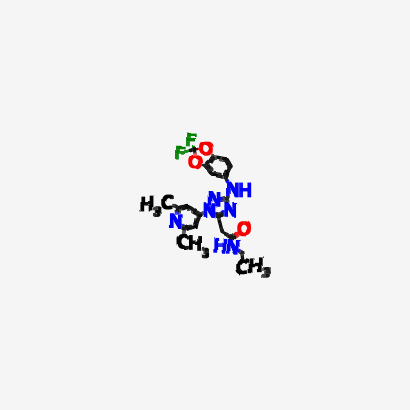 CCNC(=O)Cc1nc(Nc2ccc3c(c2)OC(F)(F)O3)nn1-c1cc(C)nc(C)c1